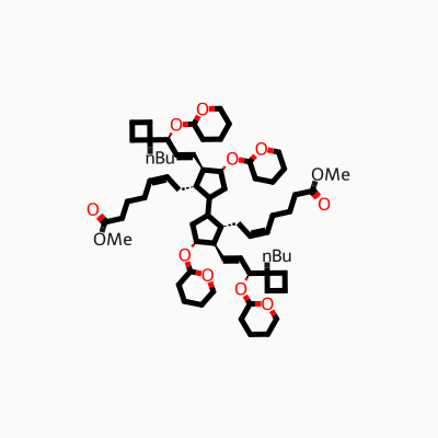 CCCCC1([C@@H](/C=C/[C@H]2[C@H](OC3CCCCO3)CC(C3C[C@@H](OC4CCCCO4)[C@H](/C=C/[C@@H](OC4CCCCO4)C4(CCCC)CCC4)[C@H]3C/C=C\CCCC(=O)OC)[C@@H]2C/C=C\CCCC(=O)OC)OC2CCCCO2)CCC1